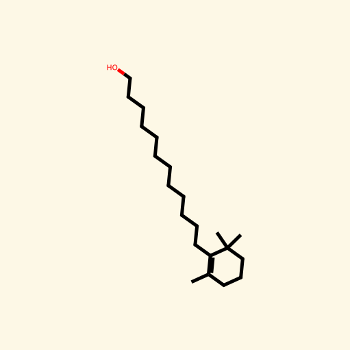 CC1=C(CCCCCCCCCCCCO)C(C)(C)CCC1